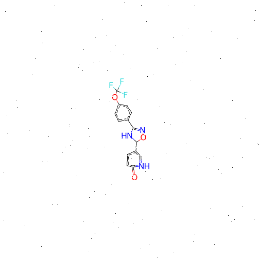 O=c1ccc(C2NC(c3ccc(OC(F)(F)F)cc3)=NO2)c[nH]1